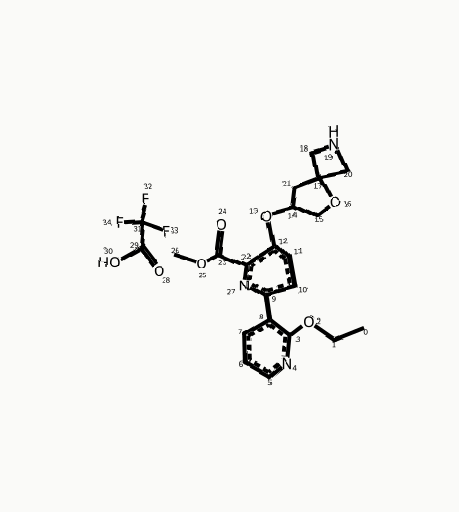 CCOc1ncccc1-c1ccc(OC2COC3(CNC3)C2)c(C(=O)OC)n1.O=C(O)C(F)(F)F